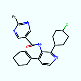 CC(C)c1ncc(C(=O)Nc2c(C3=CCCCC3)ccnc2C2CCC(Cl)CC2)cn1